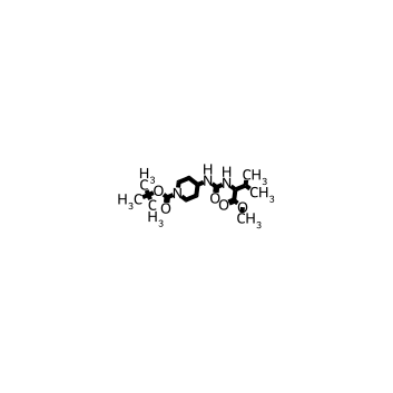 COC(=O)C(NC(=O)NC1CCN(C(=O)OC(C)(C)C)CC1)C(C)C